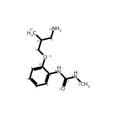 CNC(=O)Nc1ccccc1OCC(C)CN